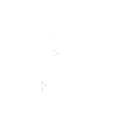 O=C(NC1CCC12CCNCC2)c1ccccc1